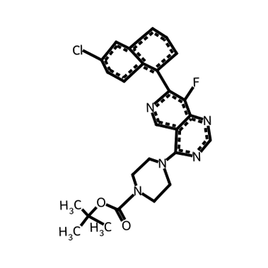 CC(C)(C)OC(=O)N1CCN(c2ncnc3c(F)c(-c4cccc5cc(Cl)ccc45)ncc23)CC1